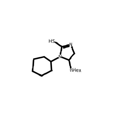 CCCCCCC1CN=C(S)N1C1CCCCC1